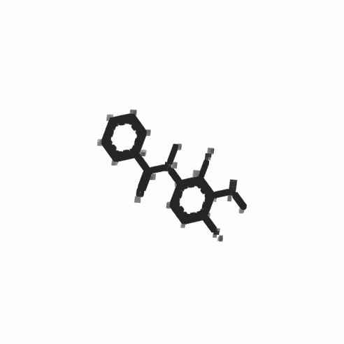 CNc1c(F)ccc(N(C)C(=O)c2ccccc2)c1F